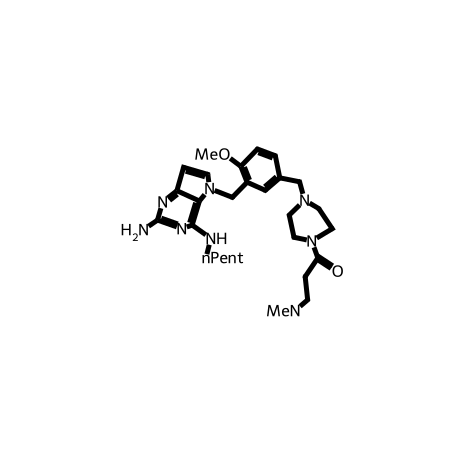 CCCCCNc1nc(N)nc2ccn(Cc3cc(CN4CCN(C(=O)CCNC)CC4)ccc3OC)c12